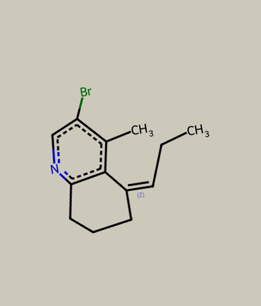 CC/C=C1/CCCc2ncc(Br)c(C)c21